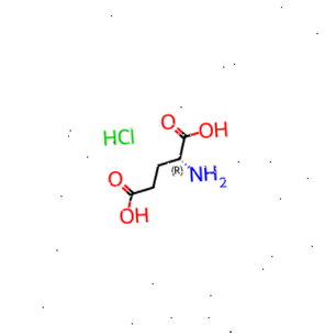 Cl.N[C@H](CCC(=O)O)C(=O)O